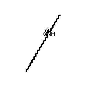 CCCCCCCCCCCCCCCCCCCCCCCC(=O)NC(=O)CCCCCCCCCCC